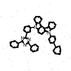 c1ccc(-c2ccc(-n3c4ccccc4c4c5c6ccccc6n(-c6cccc(-c7nc(-c8ccccc8)nc(-c8ccccc8)n7)c6)c5ccc43)cc2)cc1